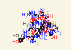 CC[C@H](C)[C@H](NC(=O)[C@@H]1C[C@@H](O)CN1C(=O)[C@@H](N)C(C)C)C(=O)N[C@H](C(=O)N[C@@H](Cc1ccc(O)cc1)C(=O)N[C@@H](CO)C(=O)N[C@@H](CC(N)=O)C(=O)N[C@@H](CCCNC(=N)N)C(=O)N[C@H](CCN)C(=O)N[C@H](C(=O)N[C@H](CCN)C(=O)N[C@@H](CCCCN)C(=O)N[C@@H](CCN)C(=O)N[C@@H](CCN)C(=O)N[C@@H](CS)C(=O)N[C@@H](Cc1ccc(O)cc1)C(=O)O)[C@@H](C)O)C(C)(C)S